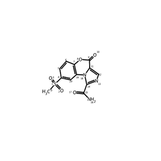 CS(=O)(=O)c1ccc2oc(=O)c3cnc(C(N)=O)n3c2c1